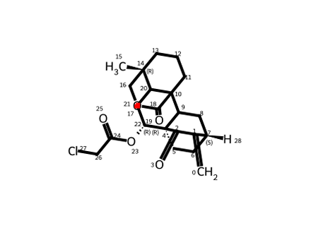 C=C1C(=O)[C@]23CC[C@H]1CC2C12CCC[C@@](C)(COC1=O)C2C[C@H]3OC(=O)CCl